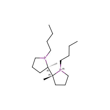 CCCCP1CCC[C@]1(C)[C@@]1(C)CCC[P@]1CCCC